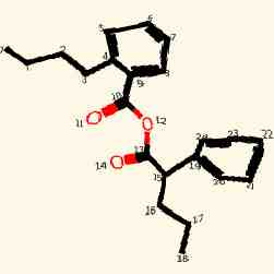 CCCCc1ccccc1C(=O)OC(=O)C(CCC)c1ccccc1